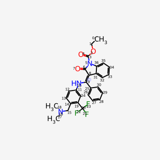 CCOC(=O)N1C(=O)/C(=C(\Nc2ccc(CN(C)C)c(C(F)(F)F)c2)c2ccccc2)c2ccccc21